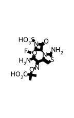 CC(C)(ON=C(C(N)=O)C1=CSC(N)N1[C@@H]1C(=O)N(S(=O)(=O)O)[C@H]1CF)C(=O)O